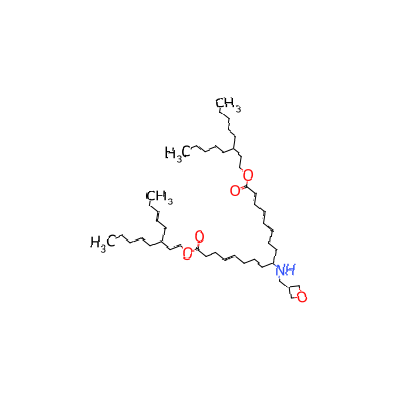 CCCCCC(CCCCC)CCOC(=O)CCCCCCCC(CCCCCCCC(=O)OCCC(CCCCC)CCCCC)NCC1COC1